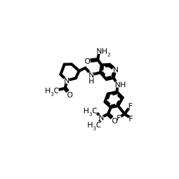 CC(=O)N1CCCC(CNc2cc(Nc3ccc(C(=O)N(C)C)c(C(F)(F)F)c3)ncc2C(N)=O)C1